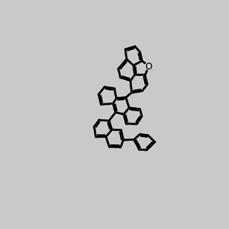 c1ccc(-c2ccc3cccc(-c4c5ccccc5c(-c5ccc6oc7cccc8ccc5c6c87)c5ccccc45)c3c2)cc1